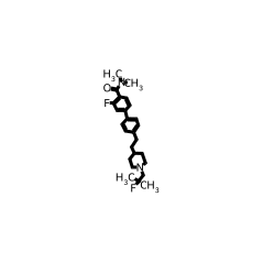 CN(C)C(=O)c1ccc(-c2ccc(CCC3CCN(CC(C)(C)F)CC3)cc2)cc1F